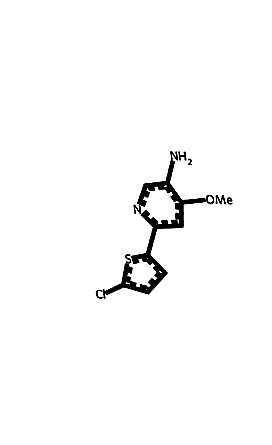 COc1cc(-c2ccc(Cl)s2)ncc1N